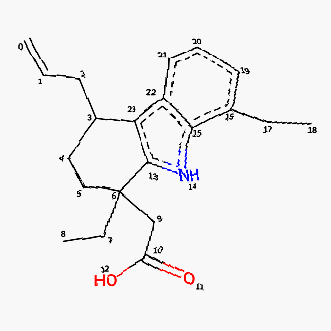 C=CCC1CCC(CC)(CC(=O)O)c2[nH]c3c(CC)cccc3c21